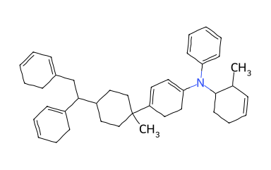 CC1C=CCCC1N(C1=CC=C(C2(C)CCC(C(CC3=CC=CCC3)C3=CC=CCC3)CC2)CC1)c1ccccc1